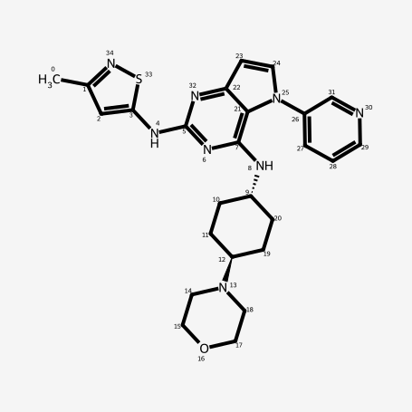 Cc1cc(Nc2nc(N[C@H]3CC[C@H](N4CCOCC4)CC3)c3c(ccn3-c3cccnc3)n2)sn1